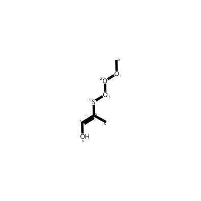 COOOS/C(C)=C/O